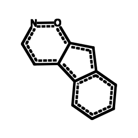 c1ccc2c3ccnoc-3cc2c1